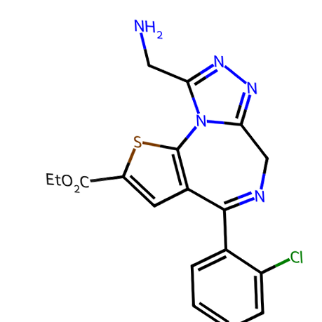 CCOC(=O)c1cc2c(s1)-n1c(CN)nnc1CN=C2c1ccccc1Cl